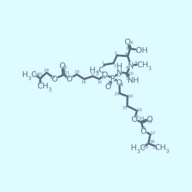 CCCCC(C(=O)O)N(C)C(=N)NP(=O)(OCCCCOC(=O)OCC(C)C)OCCCCOC(=O)OCC(C)C